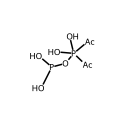 CC(=O)P(O)(O)(OP(O)O)C(C)=O